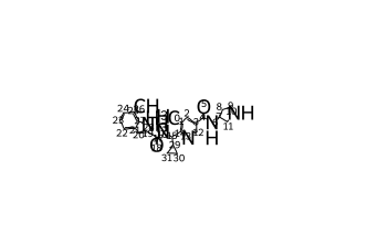 Cc1cc(C(=O)NC2CCNC2)cnc1C(NC(=O)c1cc2cccc(C)c2[nH]1)C1CC1